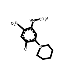 O=C(O)Nc1cc(N2CCCCC2)c(Cl)cc1[N+](=O)[O-]